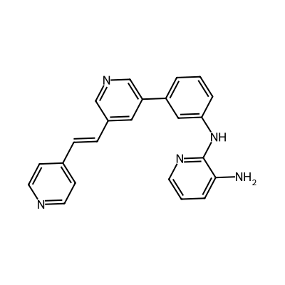 Nc1cccnc1Nc1cccc(-c2cncc(C=Cc3ccncc3)c2)c1